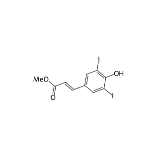 COC(=O)C=Cc1cc(I)c(O)c(I)c1